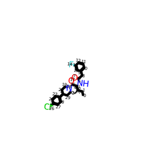 CC[C@@H](C)[C@@H](NC(=O)Cc1cccc(F)c1)C(=O)N1CCC(c2ccc(Cl)cc2)CC1